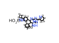 CC(C)(C)Nc1c(-c2ccccc2)c(-c2ccc(C3(NC(=O)O)CCC3)cc2)nc2nc(-c3ccccn3)nn12